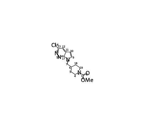 COC(=O)N1CCC(Cn2ccc3cc(Cl)nnc32)CC1